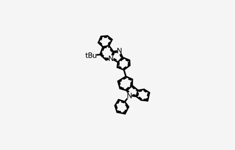 CC(C)(C)c1cn2c3cc(-c4ccc5c(c4)c4ccccc4n5-c4ccccc4)ccc3nc2c2ccccc12